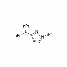 CCCC(CCC)c1ccn(C(C)C)n1